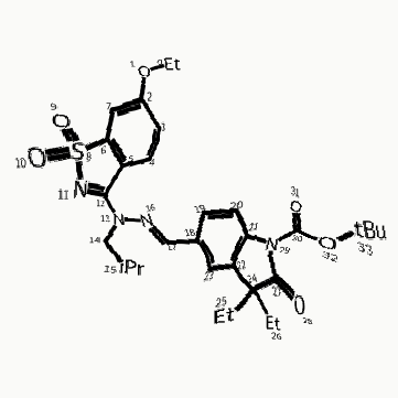 CCOc1ccc2c(c1)S(=O)(=O)N=C2N(CC(C)C)/N=C/c1ccc2c(c1)C(CC)(CC)C(=O)N2C(=O)OC(C)(C)C